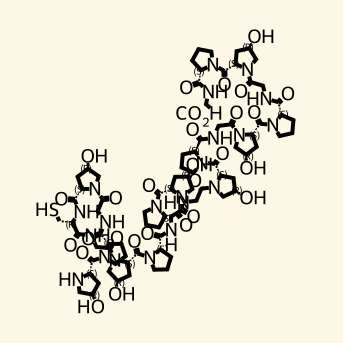 O=C(O)CNC(=O)[C@@H]1CCCN1C(=O)[C@@H]1C[C@@H](O)CN1C(=O)CNC(=O)[C@@H]1CCCN1C(=O)[C@@H]1C[C@@H](O)CN1C(=O)CNC(=O)[C@@H]1CCCN1C(=O)[C@@H]1C[C@@H](O)CN1C(=O)CNC(=O)[C@@H]1CCCN1C(=O)[C@@H]1C[C@@H](O)CN1C(=O)CNC(=O)[C@@H]1CCCN1C(=O)[C@@H]1C[C@@H](O)CN1C(=O)CNC(=O)[C@H](CS)NC(=O)[C@@H]1C[C@@H](O)CN1C(=O)CNC(=O)[C@@H]1CCCN1C(=O)[C@@H]1C[C@@H](O)CN1